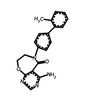 Cc1ccccc1-c1ccc(N2CCOc3ncnc(N)c3C2=O)cc1